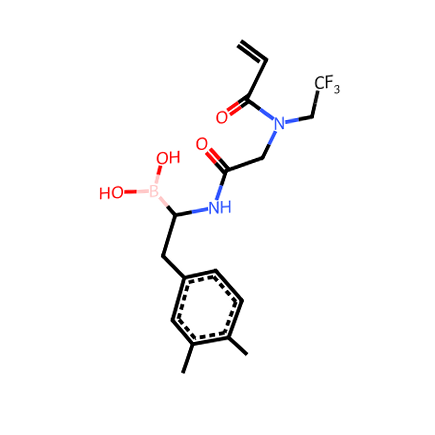 C=CC(=O)N(CC(=O)NC(Cc1ccc(C)c(C)c1)B(O)O)CC(F)(F)F